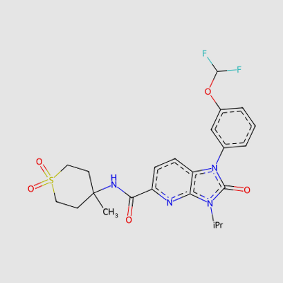 CC(C)n1c(=O)n(-c2cccc(OC(F)F)c2)c2ccc(C(=O)NC3(C)CCS(=O)(=O)CC3)nc21